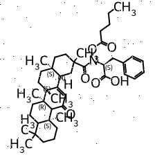 CCCCC(=O)ON(C(=O)C1(C)CC[C@]2(C)CC[C@]3(C)C(=CC(=O)C4[C@@]5(C)CCCC(C)(C)C5CC[C@]43C)[C@@H]2C1)[C@@H](Cc1ccccc1)C(=O)O